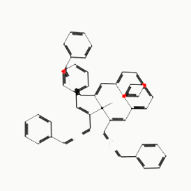 CCC(C(C=C=Cc1ccccc1)=Cc1ccccc1)(C(C=C=Cc1ccccc1)=Cc1ccccc1)C(C=C=Cc1ccccc1)=Cc1ccccc1